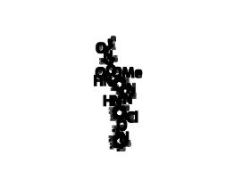 C=CC(=O)N1CC(OC(=O)Nc2cc3c(Nc4ccc(OCc5ccccn5)c(Cl)c4)ncnc3cc2OC)C1